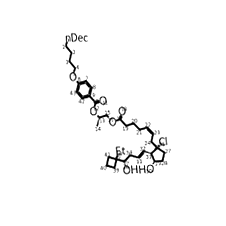 CCCCCCCCCCCCCCOc1ccc(C(=O)O[C@H](C)COC(=O)CCC/C=C\C[C@]2(Cl)CC[C@@H](O)[C@H]2/C=C/C[C@H](O)C2(CC)CCC2)cc1